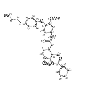 COc1cc(NC(=O)Cc2ccc(OC)c(OC(=O)c3ccccc3)c2Br)ccc1Oc1ccc(CCCC(C)(C)C)cc1